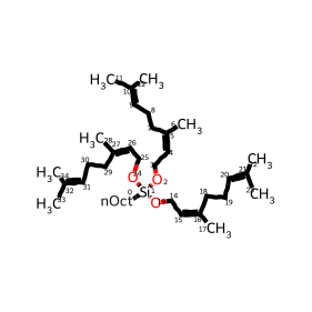 CCCCCCCC[Si](OCC=C(C)CCC=C(C)C)(OCC=C(C)CCC=C(C)C)OCC=C(C)CCC=C(C)C